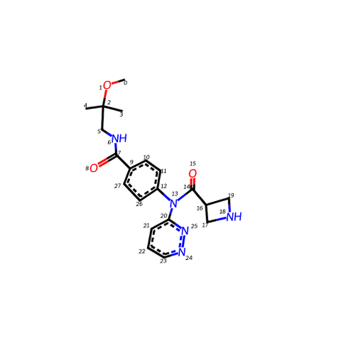 COC(C)(C)CNC(=O)c1ccc(N(C(=O)C2CNC2)c2cccnn2)cc1